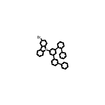 Brc1ccc2c(c1)c1ccccc1n2-c1cc(-c2cccc(-c3ccccc3)c2)cc(-c2ccccc2-c2ccccc2)c1